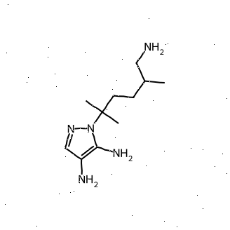 CC(CN)CCC(C)(C)n1ncc(N)c1N